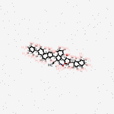 BC/C(B)=C(/B)c1c(C#C)c(-c2c(B)c(B)c3c(c2B)c(B)c(B)c2c(B)c(-c4c(B)c(B)c(B)c(B)c4B)c(B)c(B)c23)c2c(B)c(B)c(B)c(B)c2c1-c1c(B)c(B)c(-c2c(B)c(B)c3c(B)c(B)c(B)c(B)c3c2B)c(B)c1B